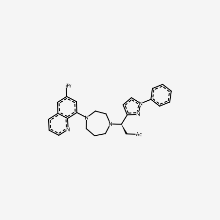 CC(=O)C[C@H](c1ccn(-c2ccccc2)n1)N1CCCN(c2cc(C(C)C)cc3cccnc23)CC1